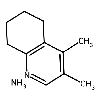 Cc1cnc2c(c1C)CCCC2.N